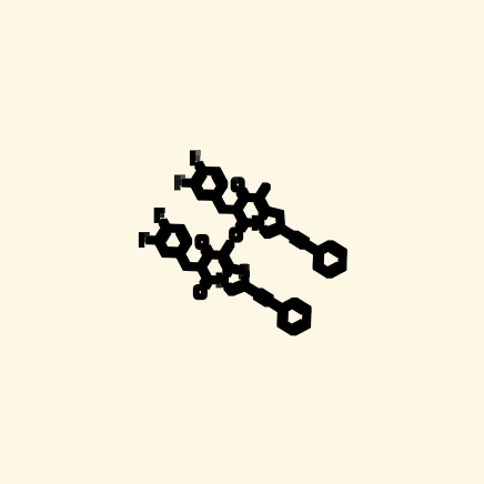 CC1=C2CC(C#Cc3ccccc3)=CN2C(=O)C(Cc2ccc(F)c(F)c2)C1=O.CC1=C2SC(C#Cc3ccccc3)=CN2C(=O)C(Cc2ccc(F)c(F)c2)C1=O